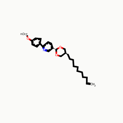 C=CCCCCCCCCC[C@H]1CO[C@H](c2ccc(-c3ccc(OCCCCCCCC)cc3)nc2)OC1